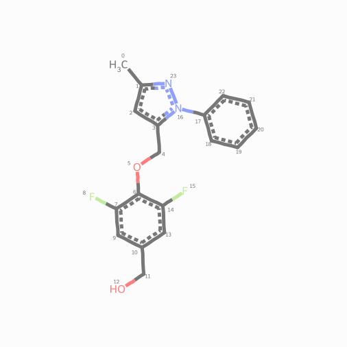 Cc1cc(COc2c(F)cc(CO)cc2F)n(-c2ccccc2)n1